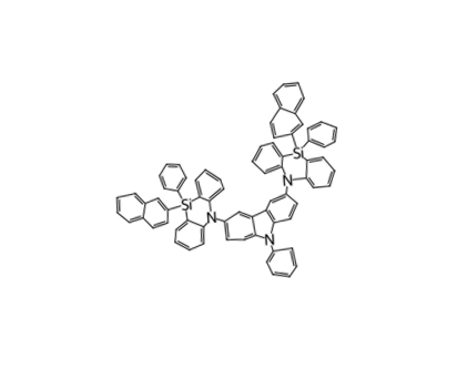 c1ccc(-n2c3ccc(N4c5ccccc5[Si](c5ccccc5)(c5ccc6ccccc6c5)c5ccccc54)cc3c3cc(N4c5ccccc5[Si](c5ccccc5)(c5ccc6ccccc6c5)c5ccccc54)ccc32)cc1